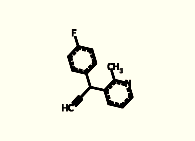 C#CC(c1ccc(F)cc1)c1cccnc1C